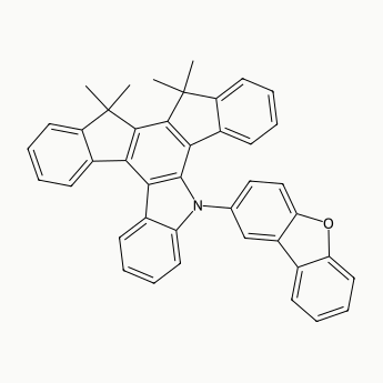 CC1(C)c2ccccc2-c2c1c1c(c3c2c2ccccc2n3-c2ccc3oc4ccccc4c3c2)-c2ccccc2C1(C)C